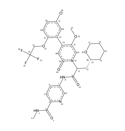 CNC(=O)c1ccc(NC(=O)C(C[C@H]2CCCCO2)n2cc(OC)c(-c3cc(Cl)ccc3OCC(F)(F)F)cc2=O)cn1